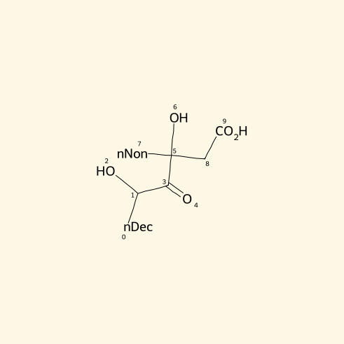 CCCCCCCCCCC(O)C(=O)C(O)(CCCCCCCCC)CC(=O)O